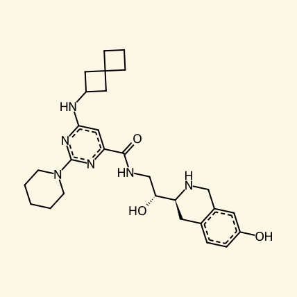 O=C(NC[C@@H](O)[C@@H]1Cc2ccc(O)cc2CN1)c1cc(NC2CC3(CCC3)C2)nc(N2CCCCC2)n1